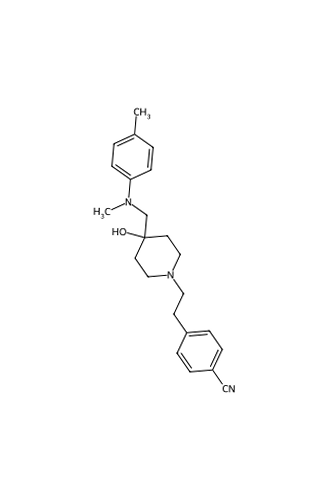 Cc1ccc(N(C)CC2(O)CCN(CCc3ccc(C#N)cc3)CC2)cc1